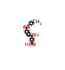 Cc1ccc(COC(=O)c2ccc3ccc(C(O)c4ccc(C(=O)O)cc4)cc3c2)cc1